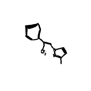 Cc1ccn(CC(c2ccccc2)C(F)(F)F)n1